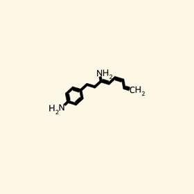 C=C/C=C\C=C(/N)CCc1ccc(N)cc1